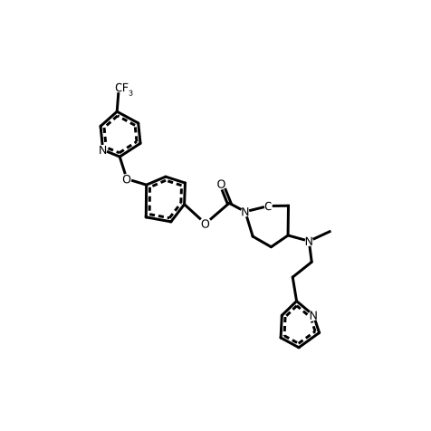 CN(CCc1ccccn1)C1CCN(C(=O)Oc2ccc(Oc3ccc(C(F)(F)F)cn3)cc2)CC1